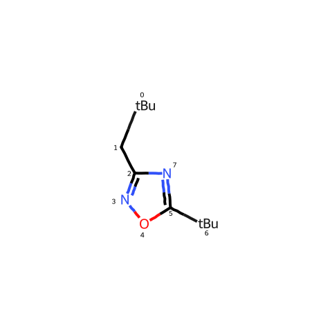 CC(C)(C)Cc1noc(C(C)(C)C)n1